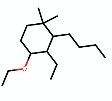 CCCCC1C(CC)C(OCC)CCC1(C)C